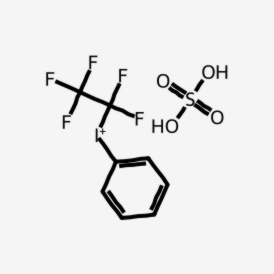 FC(F)(F)C(F)(F)[I+]c1ccccc1.O=S(=O)(O)O